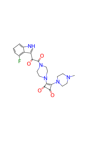 CN1CCN(c2c(N3CCN(C(=O)C(=O)c4c[nH]c5cccc(F)c45)CC3)c(=O)c2=O)CC1